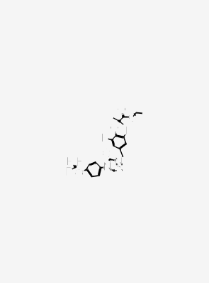 CCOC(=O)C(C)(C)Oc1c(F)cc(Cn2ncn(-c3ccc(OC(F)(F)F)cc3)c2=O)cc1F